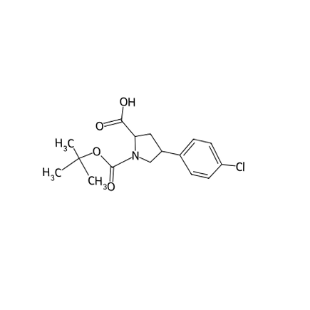 CC(C)(C)OC(=O)N1CC(c2ccc(Cl)cc2)CC1C(=O)O